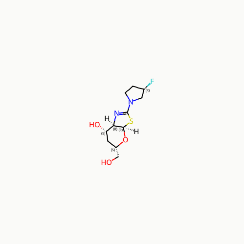 OC[C@@H]1C[C@H](O)[C@H]2N=C(N3CC[C@@H](F)C3)S[C@H]2O1